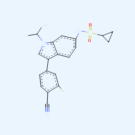 CC(C)n1cc(-c2ccc(C#N)c(F)c2)c2ccc(NS(=O)(=O)C3CC3)cc21